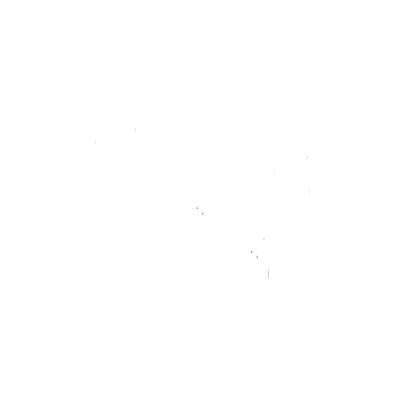 CC(=O)OCC=CCN(CC=CCOC(C)=O)CCCN(C)C